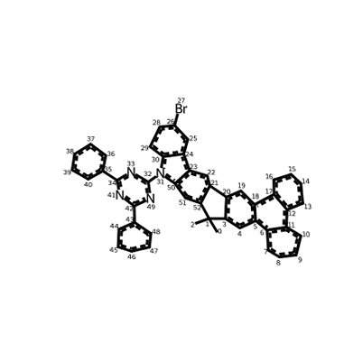 CC1(C)c2cc3c4ccccc4c4ccccc4c3cc2-c2cc3c4cc(Br)ccc4n(-c4nc(-c5ccccc5)nc(-c5ccccc5)n4)c3cc21